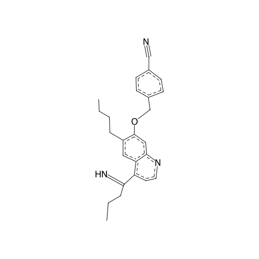 CCCCc1cc2c(C(=N)CCC)ccnc2cc1OCc1ccc(C#N)cc1